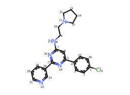 Clc1ccc(-c2cc(NCCN3CCCC3)nc(-c3cccnc3)n2)cc1